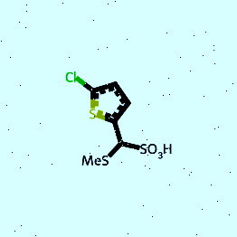 CSC(c1ccc(Cl)s1)S(=O)(=O)O